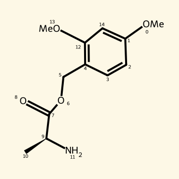 COc1ccc(COC(=O)[C@H](C)N)c(OC)c1